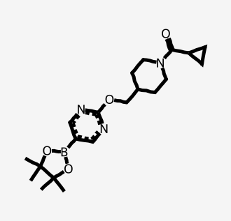 CC1(C)OB(c2cnc(OCC3CCN(C(=O)C4CC4)CC3)nc2)OC1(C)C